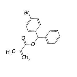 C=C(C)C(=O)OC(c1ccccc1)c1ccc(Br)cc1